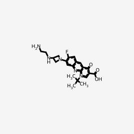 CC(C)(C)n1cc(C(=O)O)c(=O)c2cc3cc(F)c(N4CC(NCCN)C4)cc3nc21